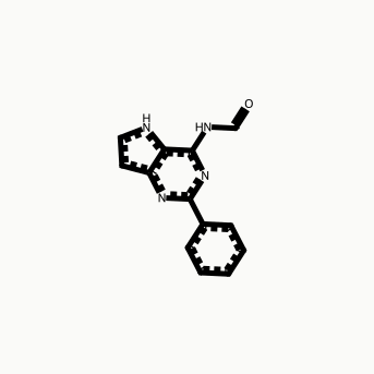 O=[C]Nc1nc(-c2ccccc2)nc2cc[nH]c12